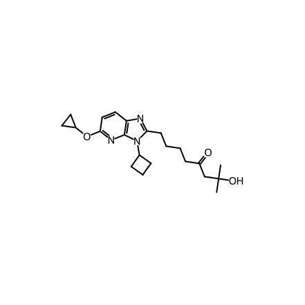 CC(C)(O)CC(=O)CCCCc1nc2ccc(OC3CC3)nc2n1C1CCC1